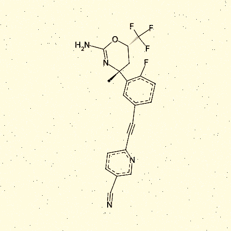 C[C@]1(c2cc(C#Cc3ccc(C#N)cn3)ccc2F)C[C@@H](C(F)(F)F)OC(N)=N1